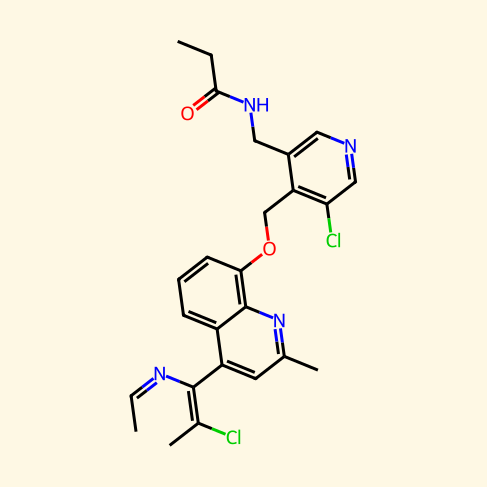 C/C=N\C(=C(/C)Cl)c1cc(C)nc2c(OCc3c(Cl)cncc3CNC(=O)CC)cccc12